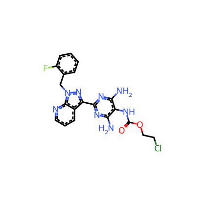 Nc1nc(-c2nn(Cc3ccccc3F)c3ncccc23)nc(N)c1NC(=O)OCCCl